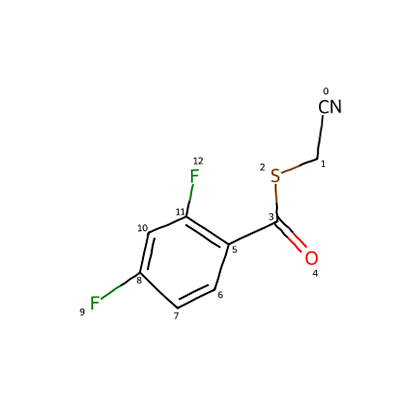 N#CCSC(=O)c1ccc(F)cc1F